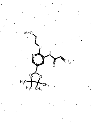 C=CC(=O)Nc1cc(B2OC(C)(C)C(C)(C)O2)cnc1OCCOC